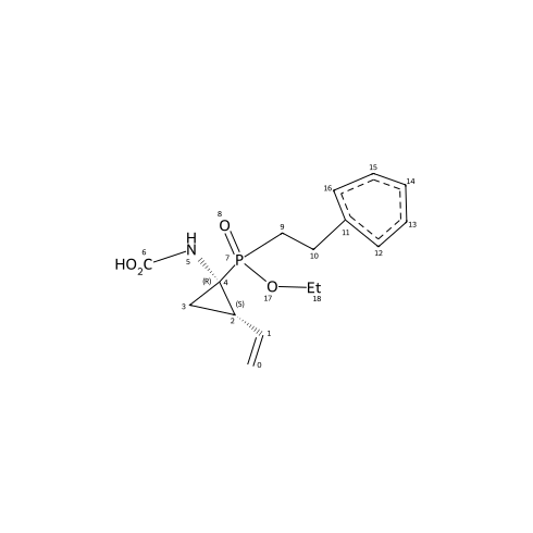 C=C[C@@H]1C[C@@]1(NC(=O)O)P(=O)(CCc1ccccc1)OCC